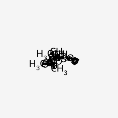 COc1cc(OC)nc(SC(C(=O)N(N)C(=O)CSCCOc2ccccc2)C(C)(C)C)n1